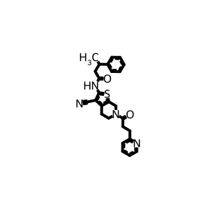 CC(CC(=O)Nc1sc2c(c1C#N)CCN(C(=O)CCc1ccccn1)C2)c1ccccc1